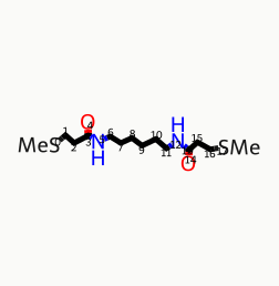 CSCCC(=O)NCCCCCCNC(=O)CCSC